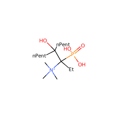 CCCCCC(O)(CCCCC)C(CC)([N+](C)(C)C)P(=O)(O)O